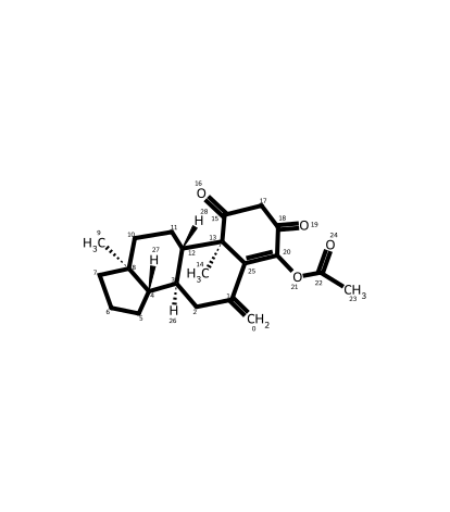 C=C1C[C@H]2[C@@H]3CCC[C@@]3(C)CC[C@@H]2[C@@]2(C)C(=O)CC(=O)C(OC(C)=O)=C12